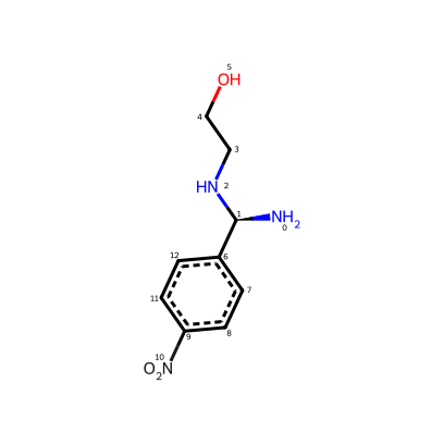 N[C@H](NCCO)c1ccc([N+](=O)[O-])cc1